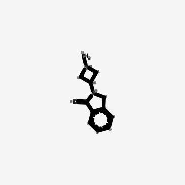 O=C1c2ccccc2CN1C1CN(P)C1